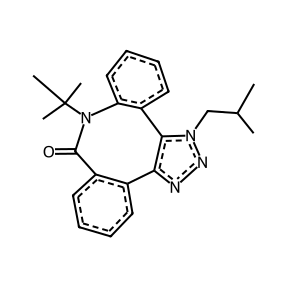 CC(C)Cn1nnc2c1-c1ccccc1N(C(C)(C)C)C(=O)c1ccccc1-2